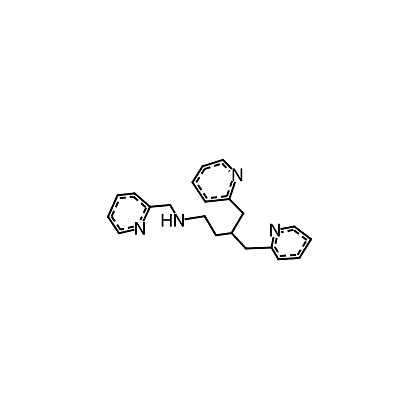 c1ccc(CNCCC(Cc2ccccn2)Cc2ccccn2)nc1